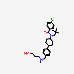 CN(CCCO)Cc1ccc(C2CCC(N(CC(C)(C)C)C(=O)c3ccc(Cl)cc3)CC2)cc1